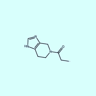 [CH2]CC(=O)N1CCc2[nH]cnc2C1